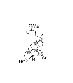 COC(=O)CC[C@@H](C)[C@H]1CCC2[C@H]3C(CC[C@@]21C)[C@@]1(C)CC[C@@H](O)C[C@H]1C[C@H]3SC(C)=O